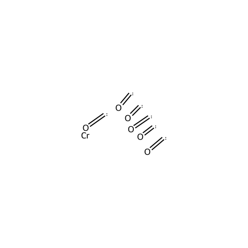 [C]=O.[C]=O.[C]=O.[C]=O.[C]=O.[C]=O.[Cr]